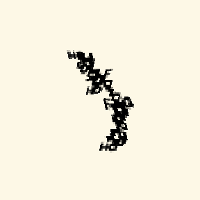 COc1cc2sc(C(=O)CC(C)C(=O)O)cc2c(F)c1OCCCOc1c(O)cc2sc(C(=O)C[C@H](C)C(=O)O)cc2c1F